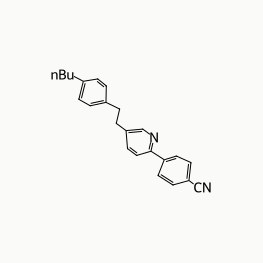 CCCCc1ccc(CCc2ccc(-c3ccc(C#N)cc3)nc2)cc1